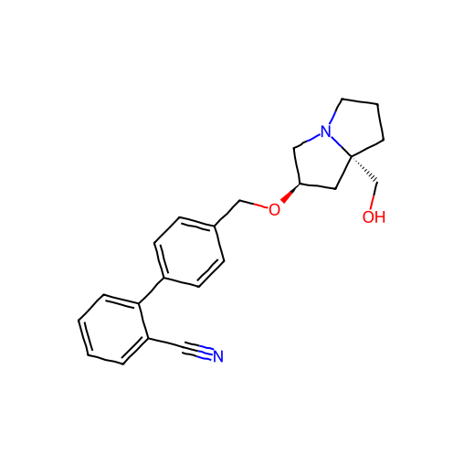 N#Cc1ccccc1-c1ccc(CO[C@H]2CN3CCC[C@@]3(CO)C2)cc1